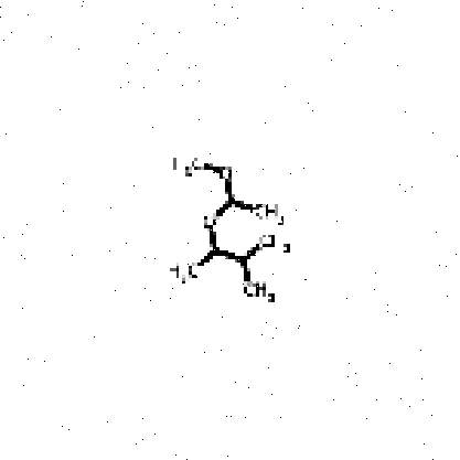 COC(C)OC(C)C(C)C